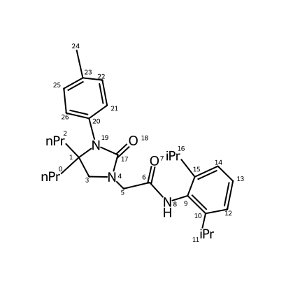 CCCC1(CCC)CN(CC(=O)Nc2c(C(C)C)cccc2C(C)C)C(=O)N1c1ccc(C)cc1